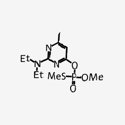 CCN(CC)c1nc(C)cc(OP(=O)(OC)SC)n1